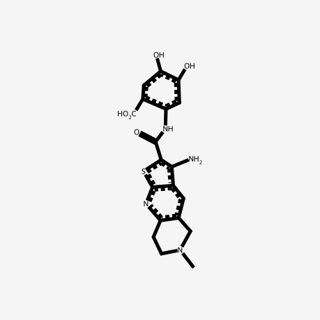 CN1CCc2nc3sc(C(=O)Nc4cc(O)c(O)cc4C(=O)O)c(N)c3cc2C1